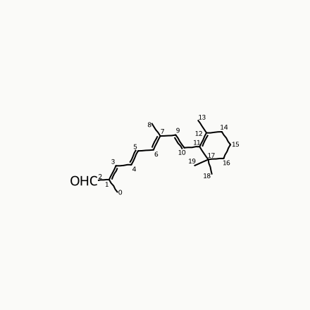 CC(C=O)=CC=CC=C(C)C=CC1=C(C)CCCC1(C)C